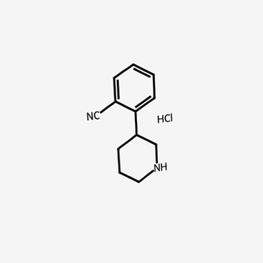 Cl.N#Cc1ccccc1C1CCCNC1